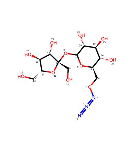 [N-]=[N+]=NOC[C@H]1OC(O[C@]2(CO)O[C@H](CO)[C@@H](O)[C@@H]2O)[C@H](O)[C@@H](O)[C@@H]1O